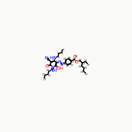 CCCCNc1c(/N=N/c2ccc(C(=O)OCC(CC)CCCC)cc2)c(O)n(NCCCC)c(=O)c1C#N